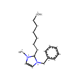 CCCCCCCCCCCCCCCCC1N(CCC)C=CN1Cc1ccccc1